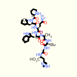 C[C@H](NC(=O)[C@H](Cc1c[nH]c2ccccc12)NC(=O)[C@H](CCC(N)=O)NC(=O)[C@@H](Cc1ccccc1)NC(=O)[C@@H]1CCCCN1)C(=O)N[C@H](C(=O)NCC(=O)N[C@@H](Cc1c[nH]cn1)C(=O)O)C(C)(C)C